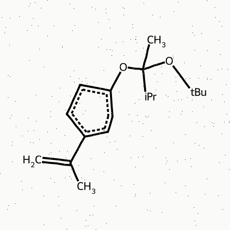 C=C(C)c1ccc(OC(C)(OC(C)(C)C)C(C)C)cc1